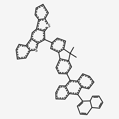 CC1(C)c2ccc(-c3c4sc5ccccc5c4cc4c3sc3ccccc34)cc2-c2ccc(-c3c4ccccc4c(C4=CC=CC5C=CC=CC45)c4ccccc34)cc21